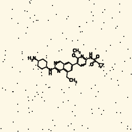 CCc1cc(-c2ccc(NS(=O)(=O)C3CC3)nc2OC)cc2cnc(NC3CCC(N)CC3)nc12